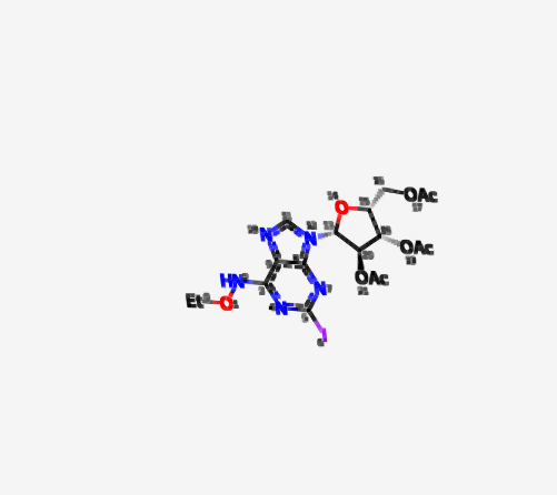 CCONc1nc(I)nc2c1ncn2[C@@H]1O[C@H](COC(C)=O)[C@H](OC(C)=O)[C@H]1OC(C)=O